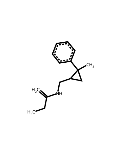 C=C(CC)NCC1CC1(C)c1ccccc1